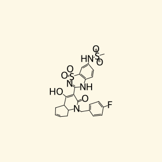 CS(=O)(=O)Nc1ccc2c(c1)S(=O)(=O)N=C(C1=C(O)C3CC=CCC3N(Cc3ccc(F)cc3)C1=O)N2